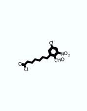 O=Cc1c(CCCCCCC(=O)Cl)cc(Cl)cc1[N+](=O)[O-]